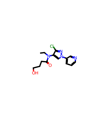 CCN(C(=O)CCCO)c1cn(-c2cccnc2)nc1Cl